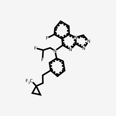 Fc1cccc2c1c(N(CC(F)F)c1cccc(CCC3(C(F)(F)F)CC3)c1)nc1nncn12